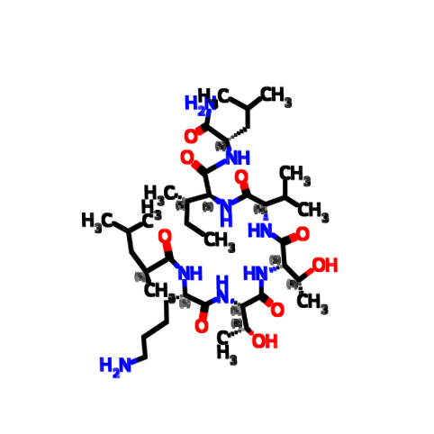 CC[C@H](C)[C@H](NC(=O)[C@@H](NC(=O)[C@@H](NC(=O)[C@@H](NC(=O)[C@H](CCCCN)NC(=O)[C@@H](C)CC(C)C)[C@@H](C)O)[C@@H](C)O)C(C)C)C(=O)N[C@@H](CC(C)C)C(N)=O